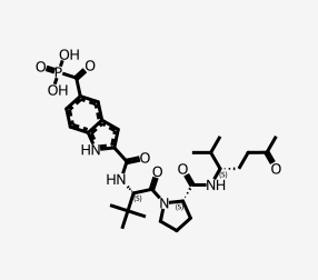 CC(=O)CC[C@H](NC(=O)[C@@H]1CCCN1C(=O)[C@@H](NC(=O)c1cc2cc(C(=O)P(=O)(O)O)ccc2[nH]1)C(C)(C)C)C(C)C